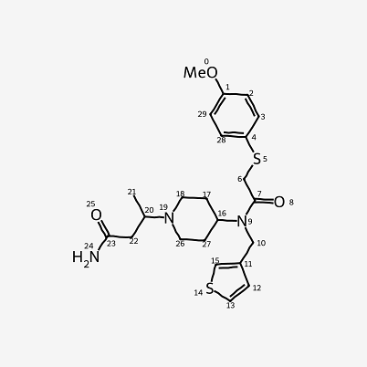 COc1ccc(SCC(=O)N(Cc2ccsc2)C2CCN(C(C)CC(N)=O)CC2)cc1